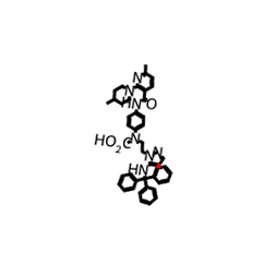 Cc1ccc(C(=O)Nc2ccc(N(CCn3nccc3NC(c3ccccc3)(c3ccccc3)c3ccccc3)C(=O)O)cc2)c(N2CCC(C)CC2)n1